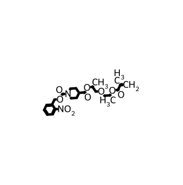 C=C(C)C(=O)OC(C)COCC(C)OC(=O)C1CCN(C(=O)OCc2ccccc2[N+](=O)[O-])CC1